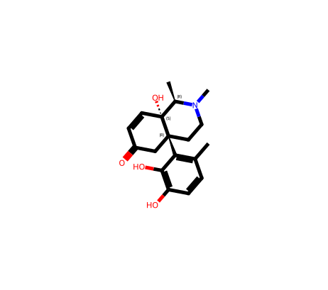 Cc1ccc(O)c(O)c1[C@]12CCN(C)[C@H](C)[C@]1(O)C=CC(=O)C2